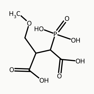 COCC(C(=O)O)C(C(=O)O)P(=O)(O)O